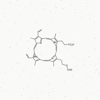 C=CC1=C(C)c2cc3[nH]c(cc4nc(cc5[nH]c(cc1n2)c(C)c5CCC(=O)O)C(CCOC=O)=C4C)c(C)c3C=C